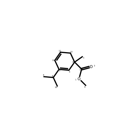 COC(=O)C1(C)C=C(C(C)C)C=CC1